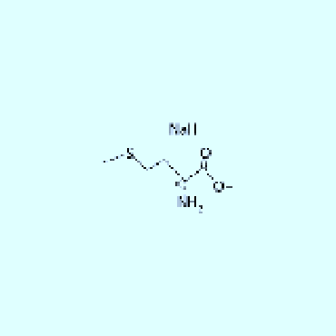 CSCC[C@@H](N)C(=O)O.[NaH]